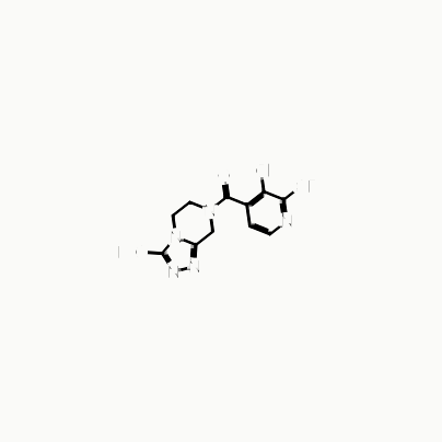 O=C(c1ccnc(C(F)(F)F)c1Cl)N1CCn2c(nnc2C(F)(F)F)C1